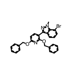 Cn1nc(-c2ccc(OCc3ccccc3)nc2OCc2ccccc2)c2cccc(Br)c21